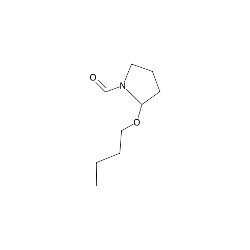 CCCCOC1CCCN1C=O